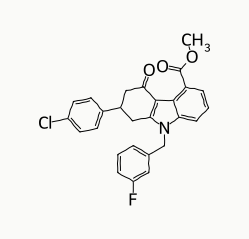 COC(=O)c1cccc2c1c1c(n2Cc2cccc(F)c2)CC(c2ccc(Cl)cc2)CC1=O